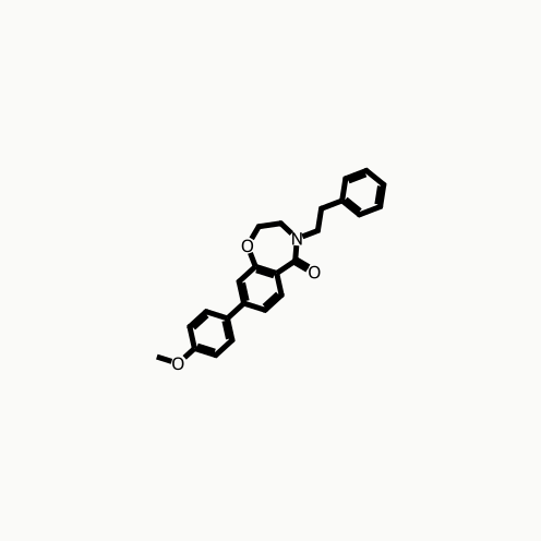 COc1ccc(-c2ccc3c(c2)OCCN(CCc2ccccc2)C3=O)cc1